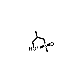 CC(CO)CS(C)(=O)=O